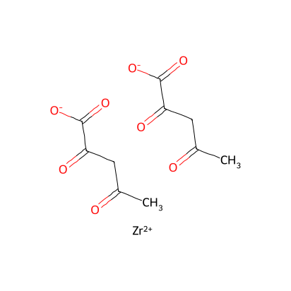 CC(=O)CC(=O)C(=O)[O-].CC(=O)CC(=O)C(=O)[O-].[Zr+2]